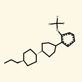 CCC[C@H]1CC[C@H](C2CCC(c3ccccc3OC(F)(F)F)CC2)CC1